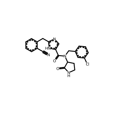 N#Cc1ccccc1Cc1ncc(C(=O)N(Cc2cccc(Cl)c2)C2CCNC2=O)[nH]1